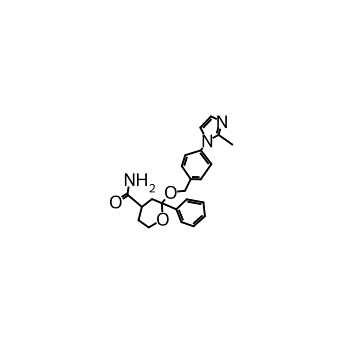 Cc1nccn1-c1ccc(COC2(c3ccccc3)CC(C(N)=O)CCO2)cc1